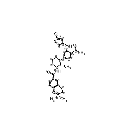 C[C@@H]1[C@H](NC(=O)c2ccc3c(c2)CCC(C)(C)O3)CCCN1c1cnc(C(N)=O)c(Nc2cnn(C)c2)n1